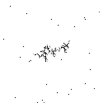 CCC[C@@H]1C(=O)N2[C@@H]1SC(C)(C)[C@@H]2C(=O)SCOC(=O)C(C)(C)C